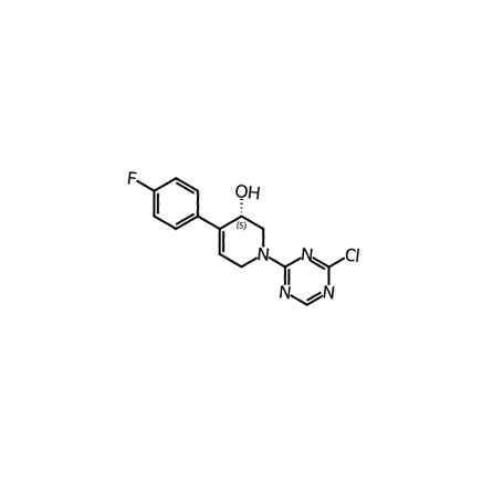 O[C@@H]1CN(c2ncnc(Cl)n2)CC=C1c1ccc(F)cc1